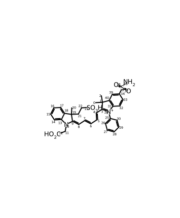 CC1(C)C(/C=C/C=C/C=C2/N(CC(=O)O)c3ccccc3C2(C)CCS(=O)(=O)O)=[N+](c2ccccc2)c2ccc(S(N)(=O)=O)cc21